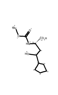 CC(C)(C)OC(=O)N[C@@H](CC(O)C1CCCC1)C(=O)O